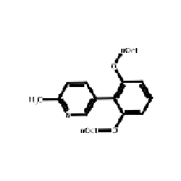 CCCCCCCCOc1cccc(OCCCCCCCC)c1-c1ccc(C)nc1